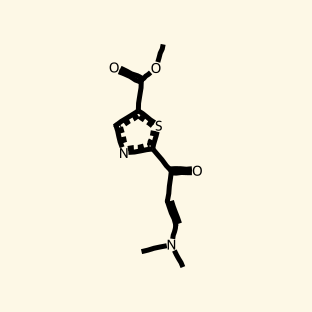 COC(=O)c1cnc(C(=O)C=CN(C)C)s1